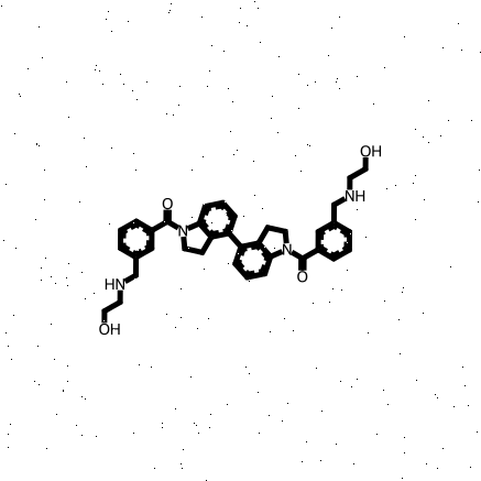 O=C(c1cccc(CNCCO)c1)N1CCc2c(-c3cccc4c3CCN4C(=O)c3cccc(CNCCO)c3)cccc21